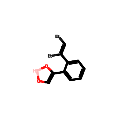 CC/C=C(\CC)c1ccccc1C1=COBO1